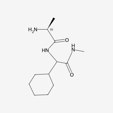 CNC(=O)C(NC(=O)[C@H](C)N)C1CCCCC1